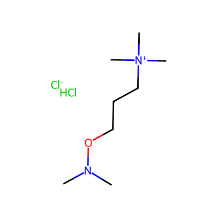 CN(C)OCCC[N+](C)(C)C.Cl.[Cl-]